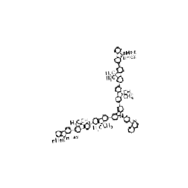 CCCCCCC1(CCCCCC)c2ccccc2-c2ccc(-c3ccc4c(c3)C(C)(C)c3cc(-c5ccc6c(c5)C(C)(C)c5cc(-c7ccc8c(c7)c7cc(-c9ccc%10c(c9)C(C)(C)c9cc(-c%11ccc%12c(c%11)C(C)(C)c%11cc(-c%13ccc%14c(c%13)C(CCCCCC)(CCCCCC)c%13ccccc%13-%14)ccc%11-%12)ccc9-%10)ccc7n8-c7ccc(-c8nccc9ccccc89)cc7)ccc5-6)ccc3-4)cc21